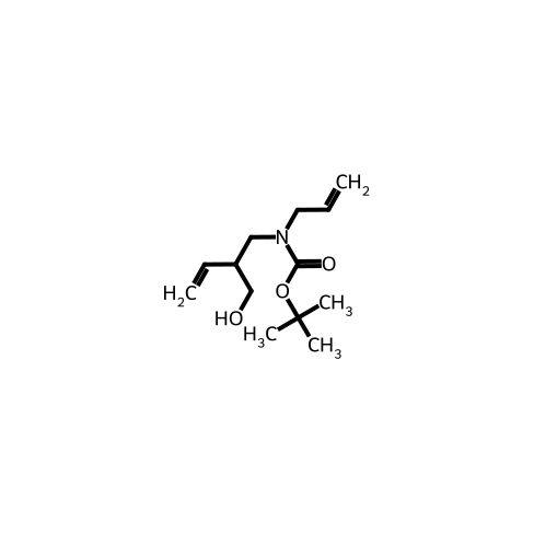 C=CCN(CC(C=C)CO)C(=O)OC(C)(C)C